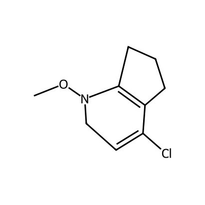 CON1CC=C(Cl)C2=C1CCC2